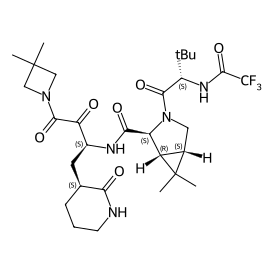 CC1(C)CN(C(=O)C(=O)[C@H](C[C@@H]2CCCNC2=O)NC(=O)[C@@H]2[C@@H]3[C@H](CN2C(=O)[C@@H](NC(=O)C(F)(F)F)C(C)(C)C)C3(C)C)C1